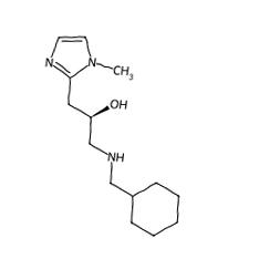 Cn1ccnc1C[C@@H](O)CNCC1CCCCC1